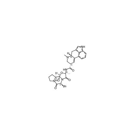 CC(C)[C@H]1C(=O)N2CCC[C@H]2[C@]2(O)O[C@@](C)(NC(=O)[C@H]3C=C4c5cccc6[nH]cc(c56)C[C@H]4N(C)C3)C(=O)N12